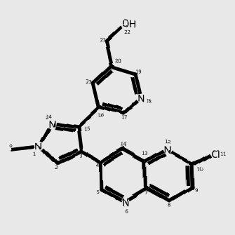 Cn1cc(-c2cnc3ccc(Cl)nc3c2)c(-c2cncc(CO)c2)n1